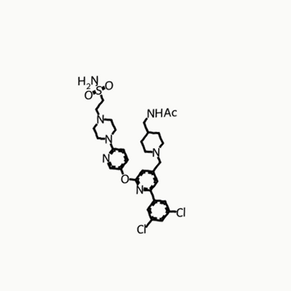 CC(=O)NCC1CCN(Cc2cc(Oc3ccc(N4CCN(CCS(N)(=O)=O)CC4)nc3)nc(-c3cc(Cl)cc(Cl)c3)c2)CC1